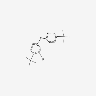 CC(C)(C)c1ccc(Oc2ccc(C(F)(F)F)cc2)cc1Br